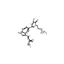 COCCn1cc(-c2cnc3[nH]cc(/C=C/C(N)=O)c3n2)cc(F)c1=O